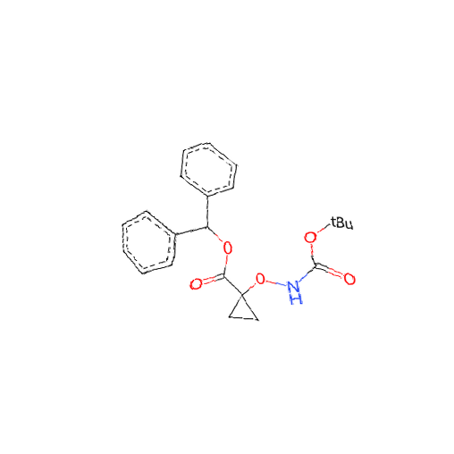 CC(C)(C)OC(=O)NOC1(C(=O)OC(c2ccccc2)c2ccccc2)CC1